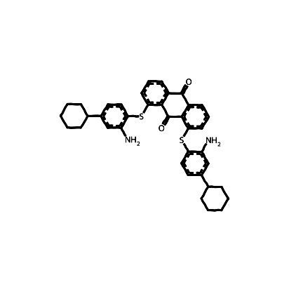 Nc1cc(C2CCCCC2)ccc1Sc1cccc2c1C(=O)c1c(Sc3ccc(C4CCCCC4)cc3N)cccc1C2=O